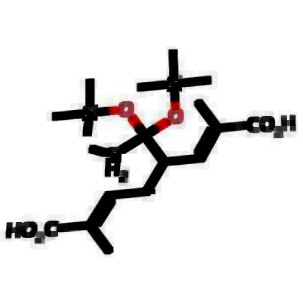 C[SiH2]C(O[Si](C)(C)C)(O[Si](C)(C)C)C([CH]C=C(C)C(=O)O)C=C(C)C(=O)O